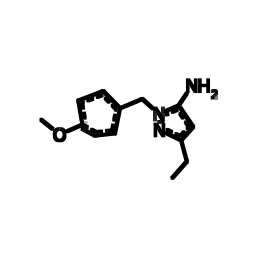 CCc1cc(N)n(Cc2ccc(OC)cc2)n1